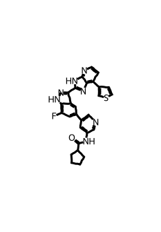 O=C(Nc1cncc(-c2cc(F)c3[nH]nc(-c4nc5c(-c6ccsc6)ccnc5[nH]4)c3c2)c1)C1CCCC1